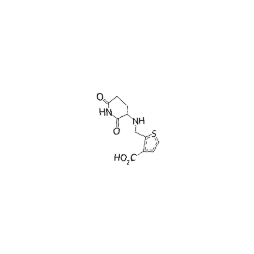 O=C1CCC(NCc2sccc2C(=O)O)C(=O)N1